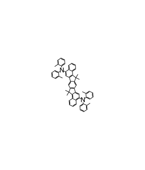 Cc1ccccc1N(c1ccccc1C)c1cc2c(c3ccccc13)C(C)(C)c1cc3c(cc1-2)C(C)(C)c1c-3cc(N(c2ccccc2C)c2ccccc2C)c2ccccc12